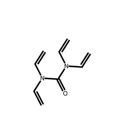 C=CN(C=C)C(=O)N(C=C)C=C